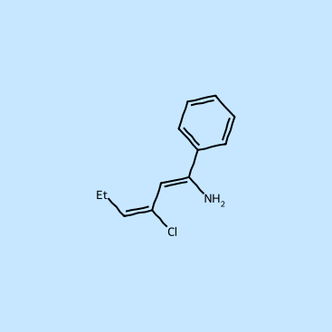 CC/C=C(Cl)\C=C(/N)c1ccccc1